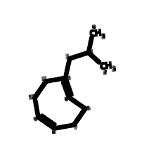 CC(C)C/C1=C\CC/C=C\CC1